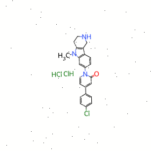 Cl.Cl.Cn1c2c(c3ccc(-n4ccc(-c5ccc(Cl)cc5)cc4=O)cc31)CNCC2